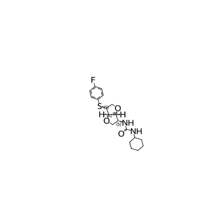 O=C(NC1CCCCC1)N[C@H]1CO[C@H]2[C@@H]1OC[C@@H]2Sc1ccc(F)cc1